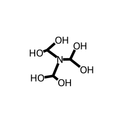 OC(O)N(C(O)O)C(O)O